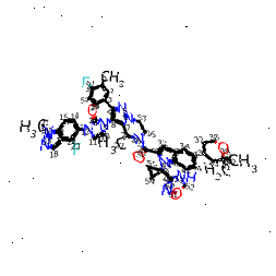 Cc1cc(-c2nn3c(c2-n2ccn(-c4ccc5c(cnn5C)c4F)c2=O)[C@H](C)N(C(=O)c2cc4cc([C@@H]5CCOC(C)(C)C5)ccc4n2C2(C4=NOCN4)CC2)CC3)ccc1F